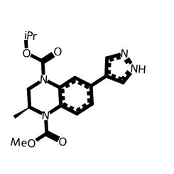 COC(=O)N1c2ccc(-c3cn[nH]c3)cc2N(C(=O)OC(C)C)C[C@@H]1C